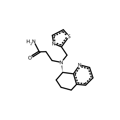 NC(=O)CCN(Cc1nccs1)[C@H]1CCCc2cccnc21